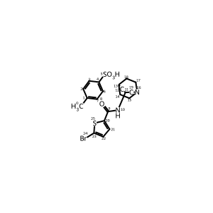 Cc1ccc(S(=O)(=O)O)cc1.O=C(NC1CC2CCN(CC2)C1)c1ccc(Br)s1